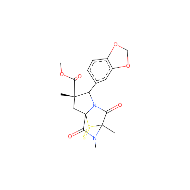 COC(=O)[C@@]1(C)CC23C(=O)N(C)C(C)(C(=O)N2C1c1ccc2c(c1)OCO2)S3=S